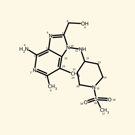 Cc1nc(N)c2nc(CO)n(NC3CCN(S(C)(=O)=O)CC3)c2c1C